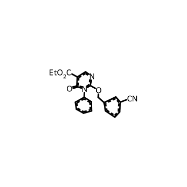 CCOC(=O)c1cnc(OCc2cccc(C#N)c2)n(-c2ccccc2)c1=O